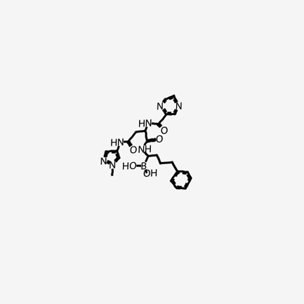 Cn1cc(NC(=O)CC(NC(=O)c2cnccn2)C(=O)NC(CCCc2ccccc2)B(O)O)cn1